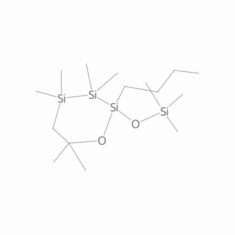 CCCC[Si]1(O[Si](C)(C)C)OC(C)(C)C[Si](C)(C)[Si]1(C)C